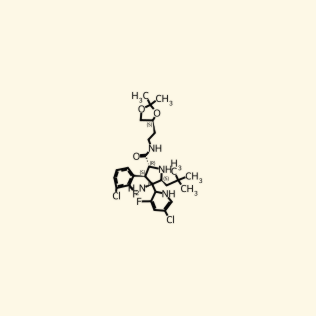 CC(C)(C)C[C@@H]1N[C@@H](C(=O)NCC[C@H]2COC(C)(C)O2)[C@H](c2cccc(Cl)c2F)[C@@]1(N)C1NC=C(Cl)C=C1F